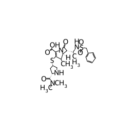 CC(NS(=O)(=O)Cc1ccccc1)[C@H]1C(=O)N2C(C(=O)O)=C(S[C@@H]3CN[C@H](C(=O)N(C)C)C3)[C@H](C)[C@H]12